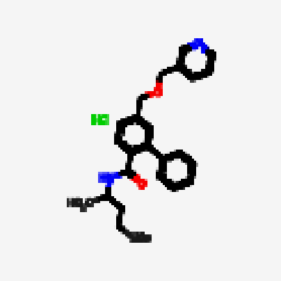 CSCCC(NC(=O)c1ccc(COCc2cccnc2)cc1-c1ccccc1)C(=O)O.Cl